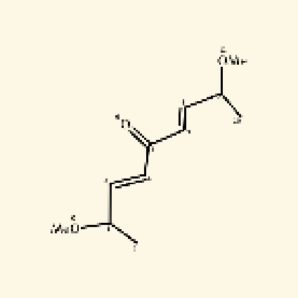 COC(C)C=CC(=O)C=CC(C)OC